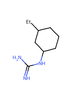 CCC1CCCC(NC(=N)N)C1